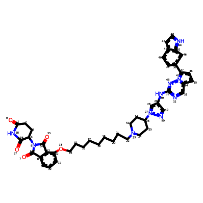 O=C1CCC(N2C(=O)c3cccc(OCCCCCCCCCN4CCC(n5cc(Nc6ncc7ccc(-c8ccc9cc[nH]c9c8)n7n6)cn5)CC4)c3C2=O)C(=O)N1